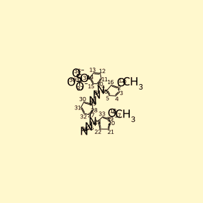 COc1cccc(N([N+]#N)c2ccccc2)c1.COc1cccc(N([N+]#N)c2ccccc2)c1.O=S(=O)([O-])[O-]